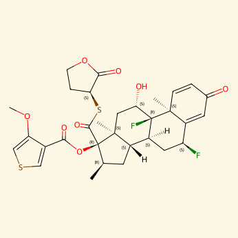 COc1cscc1C(=O)O[C@]1(C(=O)S[C@H]2CCOC2=O)[C@H](C)C[C@H]2[C@@H]3C[C@H](F)C4=CC(=O)C=C[C@]4(C)[C@@]3(F)[C@@H](O)C[C@@]21C